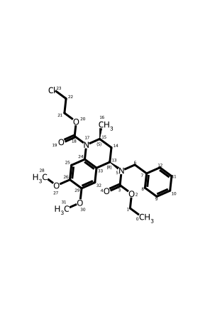 CCOC(=O)N(Cc1ccccc1)[C@@H]1C[C@H](C)N(C(=O)OCCCl)c2cc(OC)c(OC)cc21